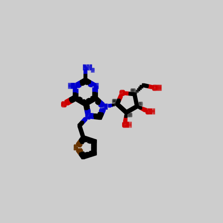 Nc1nc2c(c(=O)[nH]1)[n+](Cc1cccs1)cn2[C@@H]1O[C@H](CO)[C@@H](O)[C@H]1O